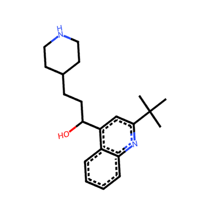 CC(C)(C)c1cc(C(O)CCC2CCNCC2)c2ccccc2n1